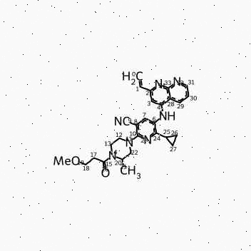 C=Cc1cc(Nc2cc(C#N)c(N3CCN(C(=O)CCOC)C(C)C3)nc2C2CC2)c2cccnc2n1